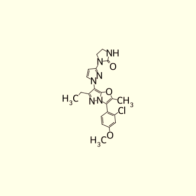 CCc1nn2c(-c3ccc(OC)cc3Cl)c(C)oc2c1-n1ccc(N2CCNC2=O)n1